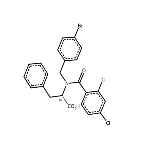 O=C(O)[C@H](Cc1ccccc1)N(Cc1ccc(Br)cc1)C(=O)c1ccc(Cl)cc1Cl